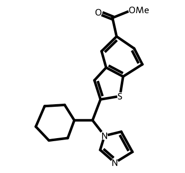 COC(=O)c1ccc2sc(C(C3CCCCC3)n3ccnc3)cc2c1